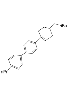 CCCc1ccc(-c2ccc(C3=CCC(CC(C)CC)CC3)cc2)cc1